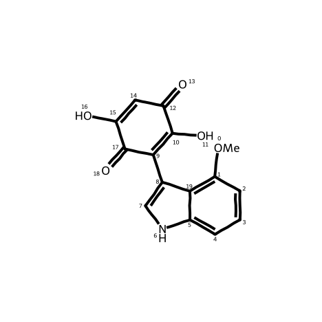 COc1cccc2[nH]cc(C3=C(O)C(=O)C=C(O)C3=O)c12